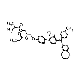 C=CC(=O)OC(COC(=O)C(=C)C)COc1ccc(-c2ccc(N(c3ccc(C)cc3)c3ccc4c(c3)CCCC4)cc2C)cc1